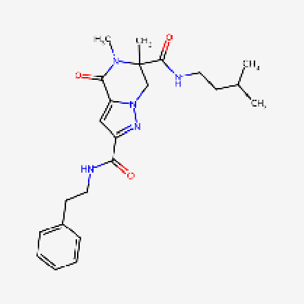 CC(C)CCNC(=O)C1(C)Cn2nc(C(=O)NCCc3ccccc3)cc2C(=O)N1C